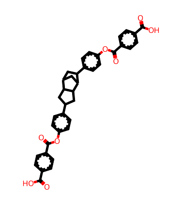 O=C(O)c1ccc(C(=O)Oc2ccc(C3CC4C5CC(c6ccc(OC(=O)c7ccc(C(=O)O)cc7)cc6)C(C5)C4C3)cc2)cc1